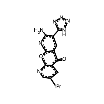 CC(C)c1cnc2oc3nc(N)c(-c4nnn[nH]4)cc3c(=O)c2c1